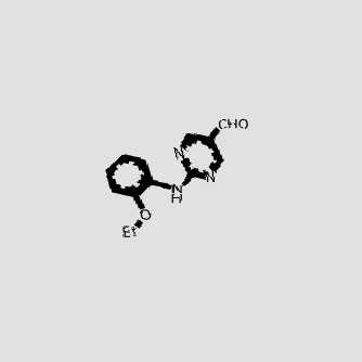 CCOc1ccccc1Nc1ncc(C=O)cn1